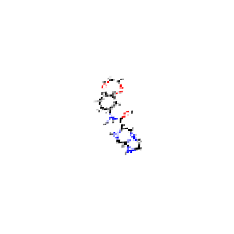 CN(C(=O)c1cn2ccnc2cn1)c1ccc2c(c1)OCCO2